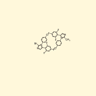 Cc1ncc(-c2c(F)cc(F)cc2F)n1-c1ccc(Cl)cc1.Fc1cc(F)c(-c2cnc(Br)n2-c2ccc(Cl)cc2)c(F)c1